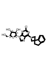 OC[C@H]1O[C@@H](n2cnc3c(N4CC5(CCc6ccccc65)C4)nc(Cl)nc32)[C@H](O)[C@@H]1O